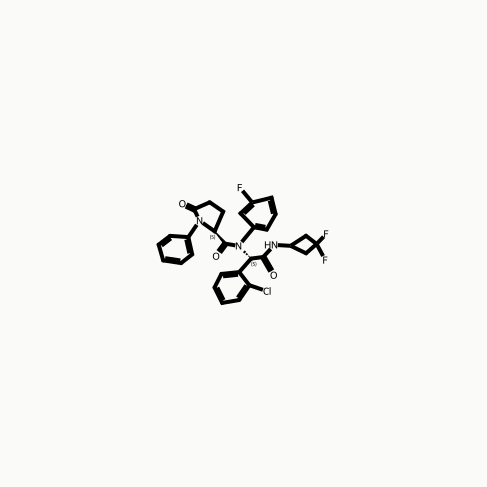 O=C(NC1CC(F)(F)C1)[C@H](c1ccccc1Cl)N(C(=O)[C@@H]1CCC(=O)N1c1ccccc1)c1cccc(F)c1